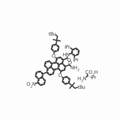 CC(C)[C@H](N)C(=O)O.CC(C)c1cccc(C(C)C)c1NC(=O)c1cc(Oc2ccc(C(C)(C)CC(C)(C)C)cc2)c2c3cccc4c(-c5cccc6c([N+](=O)[O-])cccc56)ccc(c5c(Oc6ccc(C(C)(C)CC(C)(C)C)cc6)cc(C(N)=O)c1c52)c43